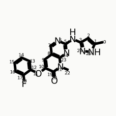 Cc1cc(Nc2ncc3cc(Oc4ccccc4F)c(=O)n(C)c3n2)n[nH]1